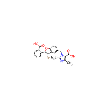 Cc1nc(C)n(Cc2ccc3oc(-c4ccccc4C(=O)O)c(Br)c3c2)c1C(=O)O